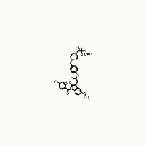 COc1ccc2c(c1)c(CC(=O)Oc1ccc(CN3CCN(CC(C)(C)SN=O)CC3)cc1)c(C)n2C(=O)c1ccc(Cl)cc1